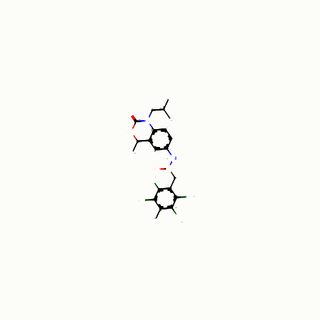 Cc1c(F)c(F)c(C[S+]([O-])Nc2ccc3c(c2)C(C)OC(=O)N3CC(C)C)c(F)c1F